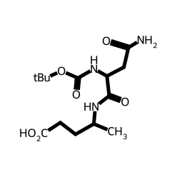 CC(CCC(=O)O)NC(=O)C(CC(N)=O)NC(=O)OC(C)(C)C